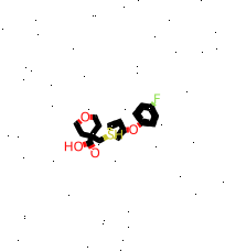 O=C(O)C1(C[SH]2C=CC(Oc3ccc(F)cc3)=C2)CCOCC1